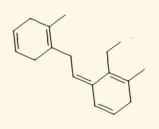 CSCC1=C(C)CC=C/C1=C/CC1=C(C)CC=CC1